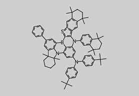 CC(C)(C)c1ccc(N(c2ccc(C(C)(C)C)cc2)c2cc3c4c(c2)N2c5c(cc(-c6ccccc6)cc5C5(C)CCCCC25C)B4c2sc4cc5c(cc4c2N3c2ccc3c(c2)C(C)(C)CCC3(C)C)C(C)(C)CCC5(C)C)cc1